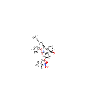 C[Si](C)(C)C#CC=CC#CC1C2=C(C(=O)CCC2)c2ccc(OCc3ccccc3[N+](=O)[O-])cc2N1C(=O)Oc1ccccc1